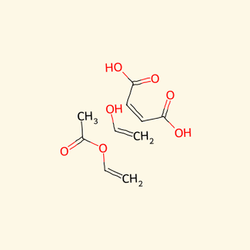 C=CO.C=COC(C)=O.O=C(O)/C=C\C(=O)O